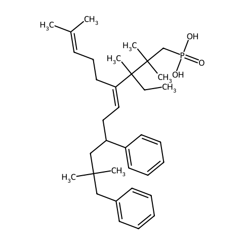 CCC(C)(/C(=C/CC(CC(C)(C)Cc1ccccc1)c1ccccc1)CCC=C(C)C)C(C)(C)CP(=O)(O)O